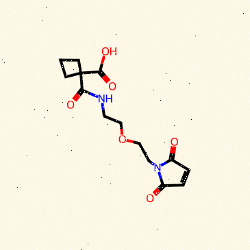 O=C1C=CC(=O)N1CCOCCNC(=O)C1(C(=O)O)CCC1